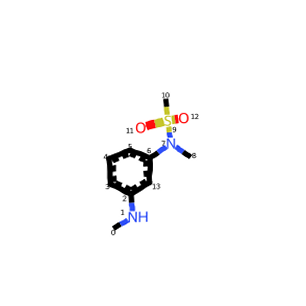 CNc1cccc(N(C)S(C)(=O)=O)c1